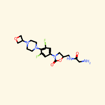 NCC(=O)NCC1CN(c2cc(F)c(N3CCN(C4COC4)CC3)c(F)c2)C(=O)O1